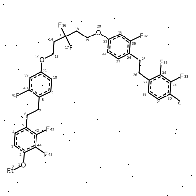 CCOc1ccc(CCc2ccc(OCCC(F)(F)CCOc3ccc(CCc4ccc(C)c(F)c4F)c(F)c3)cc2F)c(F)c1F